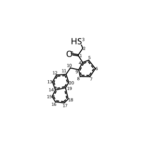 O=C(CS)c1ccccc1Cc1ccc2ccccc2c1